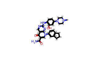 CN1CCN(c2ccc(Nc3ncc4c(=O)c(C(N)=O)cn(-c5ccc6c(c5)CCC6)c4n3)c(O)c2)CC1